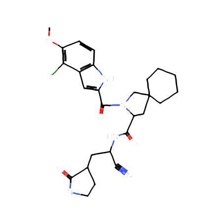 COc1ccc2[nH]c(C(=O)N3CC4(CCCCC4)CC3C(=O)NC(C#N)CC3CCNC3=O)cc2c1Cl